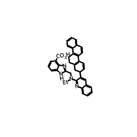 CCN(Cc1nc2c(C(=O)O)cccc2[nH]1)c1nc2ccccc2cc1C1C=CC2=C(CCc3c2ccc2ccccc32)C1